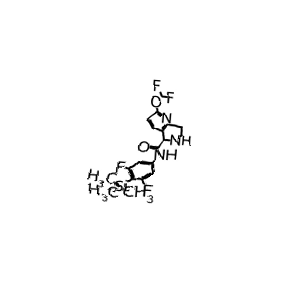 C[Si](C)(C)c1c(F)cc(NC(=O)[C@@H]2NCCc3nc(OC(F)F)ccc32)cc1F